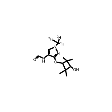 [2H]C([2H])([2H])n1cc(NC=O)c(OC2C(C)(C)C(O)C2(C)C)n1